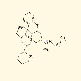 C/C=C\N=C(/N)C1CCC2C(C1)SC1=CCCC=C1C21c2ccccc2Sc2cc(C3=CCCCN3)ccc21